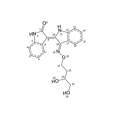 O=C1Nc2ccccc2/C1=C1/Nc2ccccc2/C1=N\OCCC(O)CO